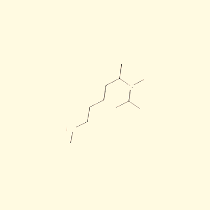 CPCCCCC(C)N(C)C(C)C